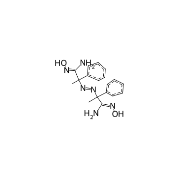 CC(N=NC(C)(C(N)=NO)c1ccccc1)(C(N)=NO)c1ccccc1